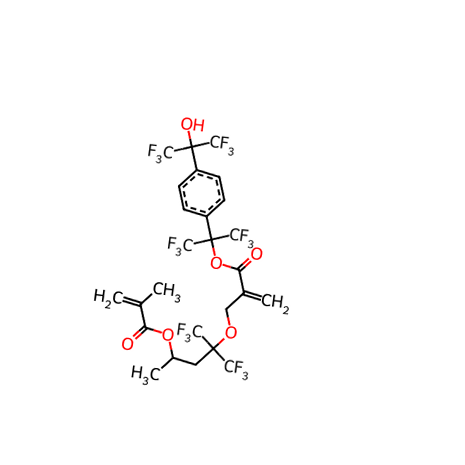 C=C(C)C(=O)OC(C)CC(OCC(=C)C(=O)OC(c1ccc(C(O)(C(F)(F)F)C(F)(F)F)cc1)(C(F)(F)F)C(F)(F)F)(C(F)(F)F)C(F)(F)F